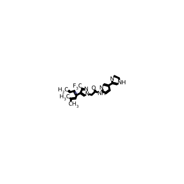 C=C/C=C(\C=C(C)C)c1cn(CC(=O)Nc2ccc(C3=CNCC=N3)cn2)nc1C(F)(F)F